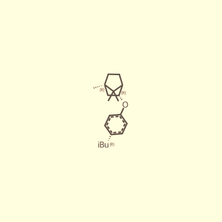 CC[C@@H](C)c1ccc(O[C@@H]2C[C@@]3(C)CCC2C3(C)C)cc1